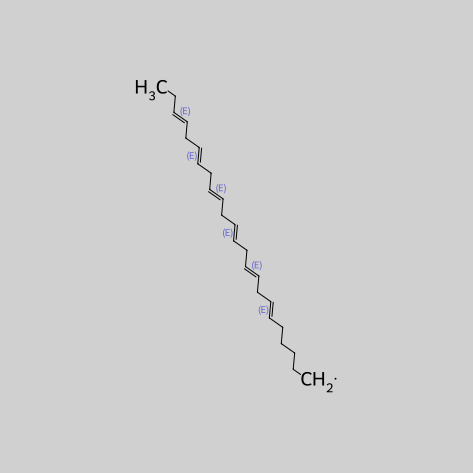 [CH2]CCCC/C=C/C/C=C/C/C=C/C/C=C/C/C=C/C/C=C/CC